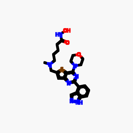 CN(CCCCC(=O)NO)Cc1cc2nc(-c3cccc4[nH]ncc34)nc(N3CCOCC3)c2s1